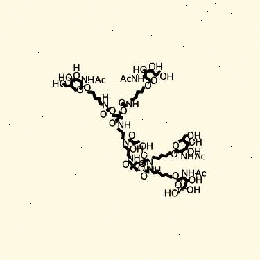 CC(=O)NC1C(O)[C@@H](O)C(CO)CO[C@H]1OCCCCCNC(=O)OCC(C)(COC(=O)NCCCCCO[C@@H]1OC(CO)[C@H](O)C(O)C1NC(C)=O)C(=O)NCCCN(CCCNC(=O)C(C)(COC(=O)NCCCCCO[C@@H]1OCC(CO)[C@H](O)C(O)C1NC(C)=O)COC(=O)NCCCCCO[C@@H]1O[C@H](CO)[C@H](O)C(O)C1NC(C)=O)C(=O)C(O)CO